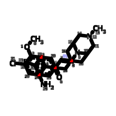 COc1cc(C(=O)/C=C/N2C3CN(C)CC2CN(Cc2ccc(F)cc2)C3)c(N)cc1Cl